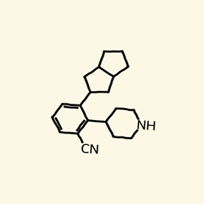 N#Cc1cccc(C2CC3CCCC3C2)c1C1CCNCC1